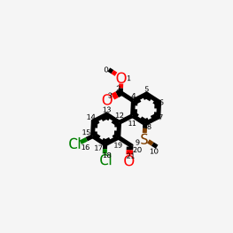 COC(=O)c1cccc(SC)c1-c1ccc(Cl)c(Cl)c1C=O